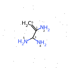 C=C(N)C(N)N